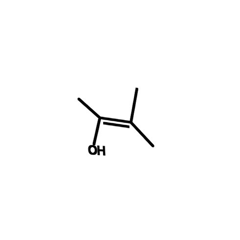 CC(C)=C(C)O